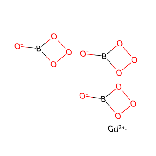 [Gd+3].[O-]B1OOO1.[O-]B1OOO1.[O-]B1OOO1